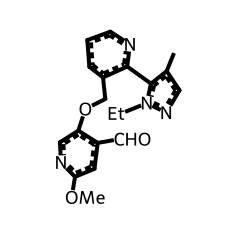 CCn1ncc(C)c1-c1ncccc1COc1cnc(OC)cc1C=O